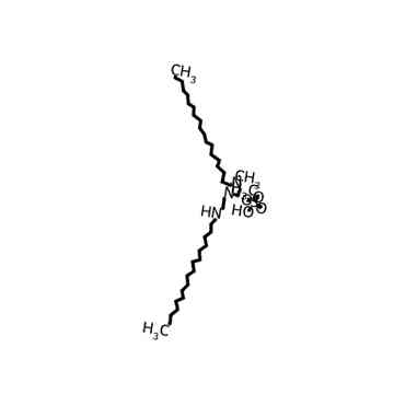 CCCCCCCCCCCCCCCCCCNCCN1CCN(C)C1CCCCCCCCCCCCCCCCCC.COS(=O)(=O)O